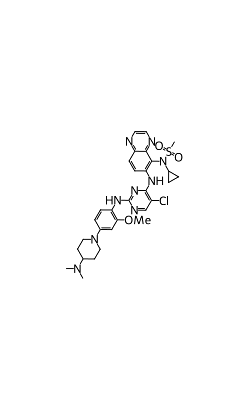 COc1cc(N2CCC(N(C)C)CC2)ccc1Nc1ncc(Cl)c(Nc2ccc3nccnc3c2N(C2CC2)S(C)(=O)=O)n1